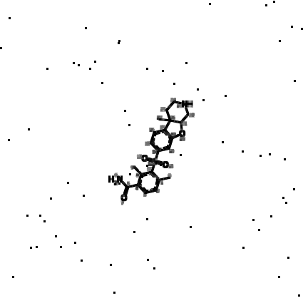 Cc1ccc(C(N)=O)c(C)c1S(=O)(=O)c1ccc2c(c1)OC1CNCCC21C